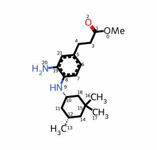 COC(=O)CCc1ccc(N[C@H]2C[C@@H](C)CC(C)(C)C2)c(N)c1